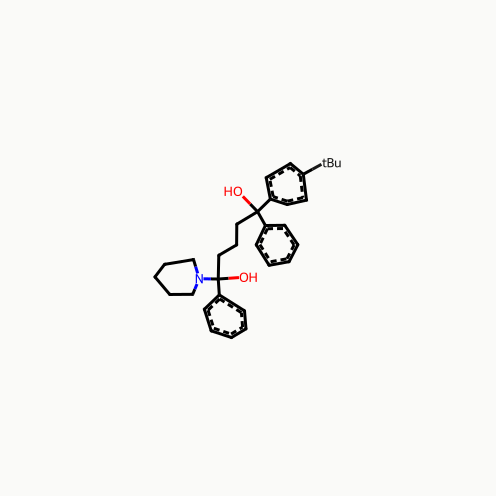 CC(C)(C)c1ccc(C(O)(CCCC(O)(c2ccccc2)N2CCCCC2)c2ccccc2)cc1